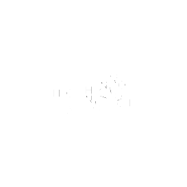 CCC(C)CNC(=O)c1cnc(C(=O)O)c(OC)c1